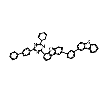 C1=CCC(c2nc(-c3ccc(-c4ccccc4)cc3)nc(-c3cccc4c3oc3ccc(-c5cccc(-c6ccc7sc8ccccc8c7c6)c5)cc34)n2)C=C1